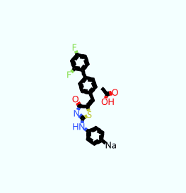 CC(=O)O.O=C1N=C(Nc2cc[c]([Na])cc2)S/C1=C/c1ccc(-c2ccc(F)cc2F)cc1